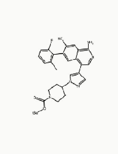 Cc1cccc(F)c1-c1cc2c(-c3cnn(C4CCN(C(=O)OC(C)(C)C)CC4)c3)cnc(N)c2cc1C#N